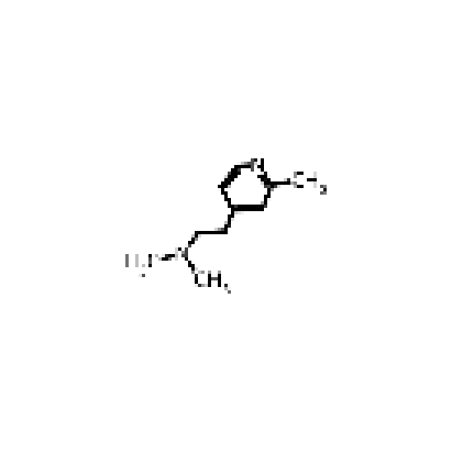 Cc1cc(CCN(C)C)ccn1